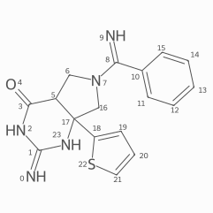 N=C1NC(=O)C2CN(C(=N)c3ccccc3)CC2(c2cccs2)N1